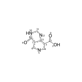 O=C(O)c1cncc2c(=O)[nH]cnc12